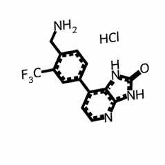 Cl.NCc1ccc(-c2ccnc3[nH]c(=O)[nH]c23)cc1C(F)(F)F